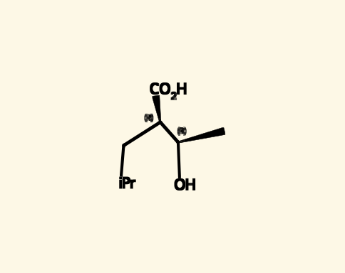 CC(C)C[C@@H](C(=O)O)[C@@H](C)O